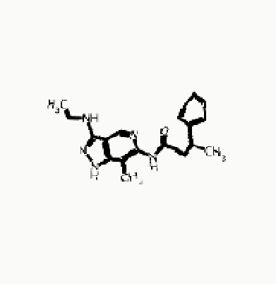 CCNc1n[nH]c2c(C)c(NC(=O)C[C@H](C)c3ccccc3)ncc12